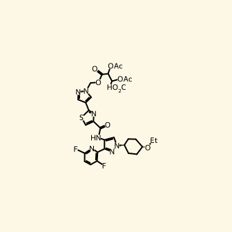 CCO[C@H]1CC[C@H](n2cc(NC(=O)c3csc(-c4cnn(COC(=O)C(OC(C)=O)C(OC(C)=O)C(=O)O)c4)n3)c(-c3nc(F)ccc3F)n2)CC1